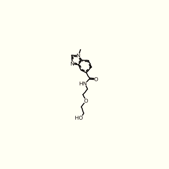 Cn1cnc2cc(C(=O)NCCOCCO)ccc21